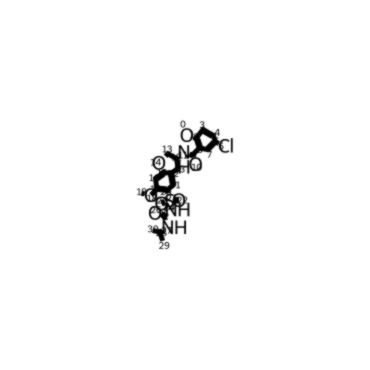 COc1ccc(Cl)cc1C(=O)NC1COc2cc(OC)c(S(=O)(=O)NC(=O)NC(C)C)cc2C1